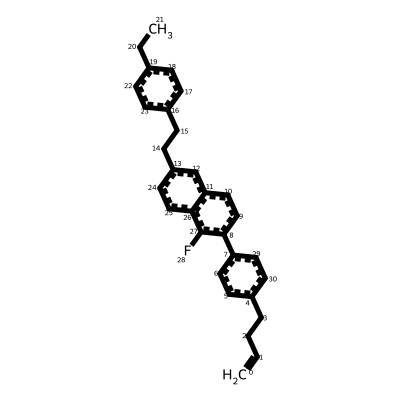 C=CCCc1ccc(-c2ccc3cc(CCc4ccc(CC)cc4)ccc3c2F)cc1